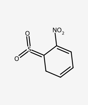 O=[N+]([O-])C1=CC=CCC1=S(=O)=O